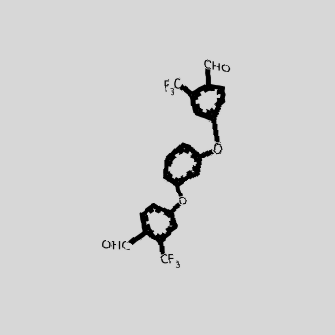 O=Cc1ccc(Oc2cccc(Oc3ccc(C=O)c(C(F)(F)F)c3)c2)cc1C(F)(F)F